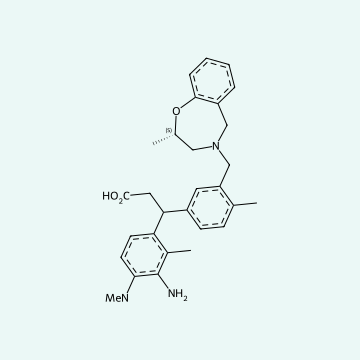 CNc1ccc(C(CC(=O)O)c2ccc(C)c(CN3Cc4ccccc4O[C@@H](C)C3)c2)c(C)c1N